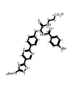 CCCCCc1noc(-c2cnc(-c3ccc(C[C@H](NC(=O)c4ccc(C(C)(C)C)cc4)C(=O)NCCC(=O)O)cc3)nc2)n1